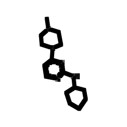 CN1CCN(c2ccnc(NC3CCCCC3)n2)CC1